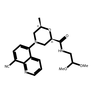 COC(CNC(=O)[C@H]1CN(c2ccc(C#N)c3ncccc23)C[C@@H](C)O1)OC